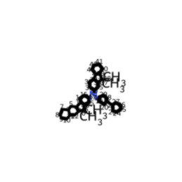 CC1(C)C2=C(CC3C=CC=CC3=C2)c2ccc(N(c3ccc(-c4ccccc4)cc3)c3ccc4c(c3)C(C)(C)c3ccccc3-4)cc21